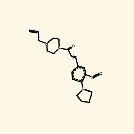 C=CCN1CCN(C(=O)/C=C/c2ccc(N3CCCC3)c(N=O)c2)CC1